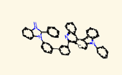 c1ccc(C2Nc3ccccc3N2c2cccc(-c3cccc(-c4nc5ccccc5c5c4ccc4c5c5ccccc5n4-c4ccccc4)c3)c2)cc1